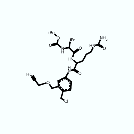 C#CCOCc1cc(NC(=O)C(CCCNC(N)=O)NC(=O)C(NC(=O)OC(C)(C)C)C(C)C)ccc1CCl